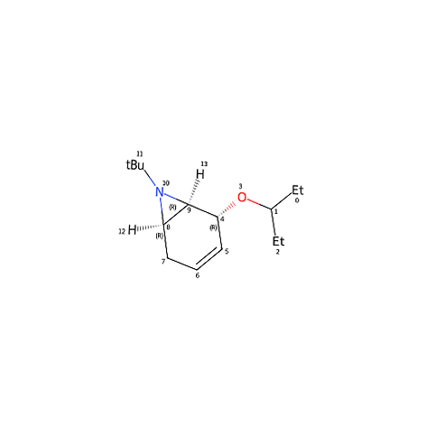 CCC(CC)O[C@@H]1C=CC[C@@H]2[C@H]1N2C(C)(C)C